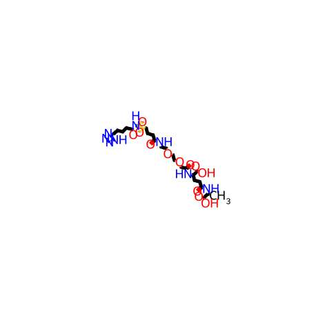 CC(NC(=O)CCC(NC(=O)COCCOCCNC(=O)CCCS(=O)(=O)NC(=O)CCCc1nnn[nH]1)C(=O)O)C(=O)O